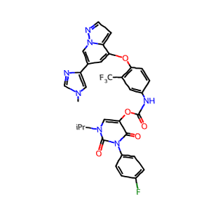 CC(C)n1cc(OC(=O)Nc2ccc(Oc3cc(-c4cn(C)cn4)cn4nccc34)c(C(F)(F)F)c2)c(=O)n(-c2ccc(F)cc2)c1=O